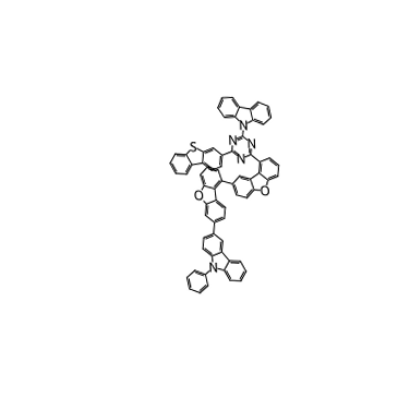 c1ccc(-n2c3ccccc3c3cc(-c4ccc5c(c4)oc4cccc(-c6ccc7oc8cccc(-c9nc(-c%10ccc%11c(c%10)sc%10ccccc%10%11)nc(-n%10c%11ccccc%11c%11ccccc%11%10)n9)c8c7c6)c45)ccc32)cc1